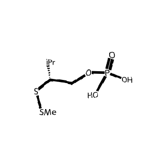 CSS[C@@H](COP(=O)(O)O)C(C)C